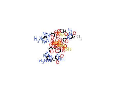 COP(=O)(S)O[C@@H]1C[C@H](n2cnc3c(N)ncnc32)O[C@@H]1COP(=O)(S)O[C@@H]1C[C@H](n2cc(C)c(=O)[nH]c2=O)O[C@@H]1COP(=O)(S)O[C@@H]1C[C@H](n2cc(C)c(=O)[nH]c2=O)O[C@@H]1COP(=O)(S)O[C@@H]1C[C@H](n2cnc3c(N)ncnc32)O[C@@H]1COP(=O)(O)S